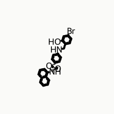 O=S(=O)(Nc1cccc2ccccc12)c1ccc(NCc2ccc(Br)cc2O)cc1